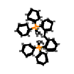 C=P(c1ccccc1)(c1ccccc1)c1c#cccc1Cc1ccccc1P(=C)(c1ccccc1)c1ccccc1